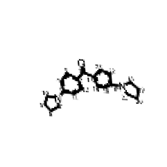 O=C(c1ccc(N2CCCC2)cc1)c1ccc(N2CCCC2)cc1